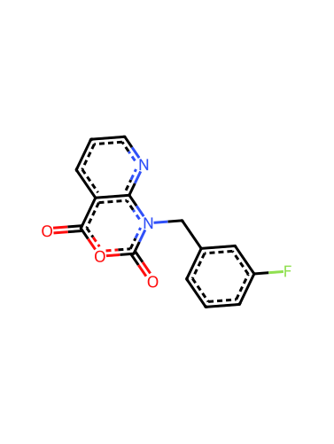 O=c1oc(=O)n(Cc2cccc(F)c2)c2ncccc12